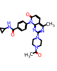 CC(=O)N1CCN(c2nc(C)c3ccc(=O)n(-c4ccc(C(=O)NC5CC5)cc4)c3n2)CC1